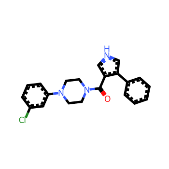 O=C(c1c[nH]cc1-c1ccccc1)N1CCN(c2cccc(Cl)c2)CC1